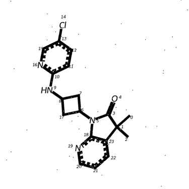 CC1(C)C(=O)N(C2CC(Nc3ccc(Cl)cn3)C2)c2ncccc21